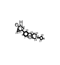 O=C1NN=C(c2ccc3c(c2)CC2(CCN(C4CCC4)CC2)O3)C2CC12